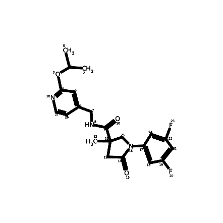 CC(C)Oc1cc(CNC(=O)C2(C)CC(=O)N(c3cc(F)cc(F)c3)C2)ccn1